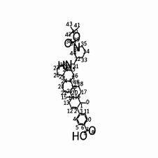 CC1C(c2ccc(C(=O)O)cc2)=CCC2(C)C1CCC1(C)C2CCC2C3CCCC3(NCC3CCCN(C(=O)OC(C)(C)C)C3)CC[C@]21C